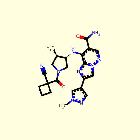 C[C@@H]1CN(C(=O)C2(C#N)CCC2)C[C@H]1Nc1c(C(N)=O)cnn2cc(-c3cnn(C)c3)nc12